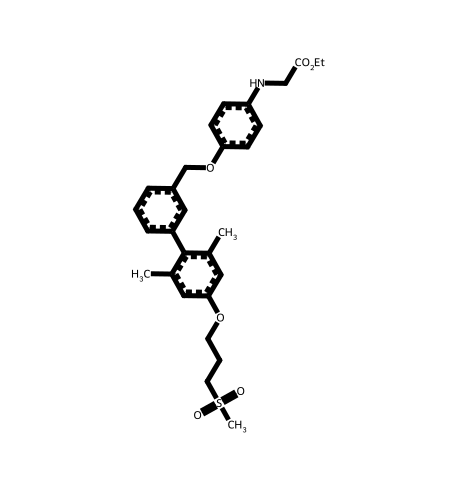 CCOC(=O)CNc1ccc(OCc2cccc(-c3c(C)cc(OCCCS(C)(=O)=O)cc3C)c2)cc1